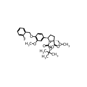 COC[C@@]1(C(=O)O)CC[C@H](c2ccc(OCc3ccccc3F)c(OC)c2)N1C(=O)OC(C)(C)C